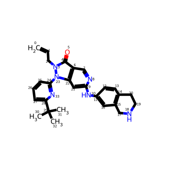 C=CCn1c(=O)c2cnc(Nc3ccc4c(c3)CNCC4)cc2n1-c1cccc(C(C)(C)C)n1